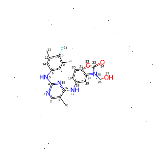 Cc1cnc(Nc2cc(C)c(F)c(C)c2)nc1Nc1ccc2oc(=O)n(CO)c2c1